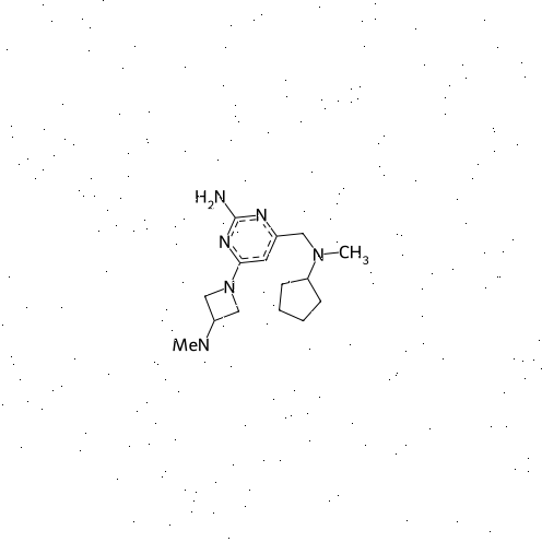 CNC1CN(c2cc(CN(C)C3CCCC3)nc(N)n2)C1